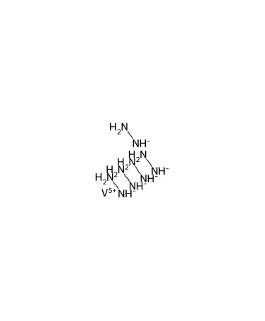 [NH-]N.[NH-]N.[NH-]N.[NH-]N.[NH-]N.[V+5]